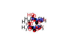 CCOC(=O)CCN(C)C(=O)c1ccc(NC(c2oc3ccc(Br)nc3c2C)C2CCCCC2)cc1.Cc1c(C(Nc2ccc(C(=O)N(C)CCC(=O)O)cc2)C2CCCCC2)oc2ccc(Br)nc12